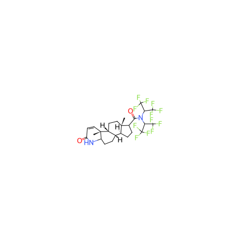 C[C@]12C=CC(=O)NC1CC[C@@H]1[C@H]2CC[C@]2(C)C(C(=O)N(C(C(F)(F)F)C(F)(F)F)C(C(F)(F)F)C(F)(F)F)CC[C@@H]12